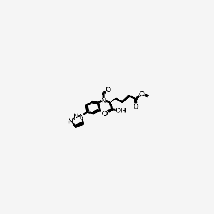 COC(=O)CCC[C@@H](C(=O)O)N(C=O)c1ccc(-n2ccnn2)cc1